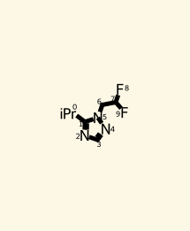 CC(C)c1ncnn1CC(F)F